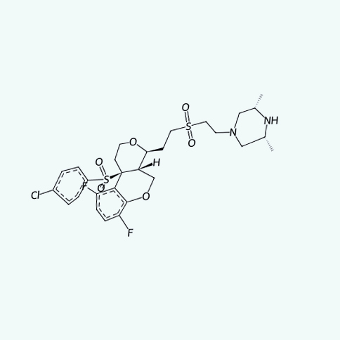 C[C@@H]1CN(CCS(=O)(=O)CC[C@@H]2OCC[C@@]3(S(=O)(=O)c4ccc(Cl)cc4)c4c(F)ccc(F)c4OC[C@@H]23)C[C@H](C)N1